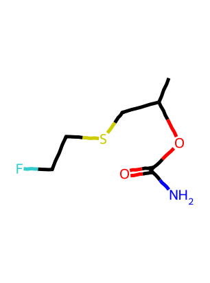 CC(CSCCF)OC(N)=O